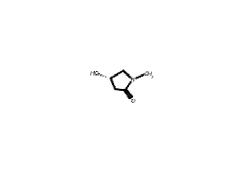 CN1C[C@@H](O)CC1=O